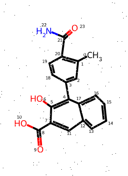 Cc1cc(-c2c(O)c(C(=O)O)cc3ccccc23)ccc1C(N)=O